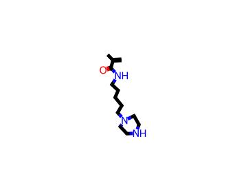 C=C(C)C(=O)NCCCCCN1CCNCC1